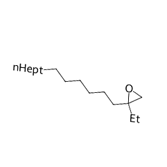 CCCCCCCCCCCCCC1(CC)CO1